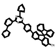 N#Cc1ccc2c(c1)C1(c3ccccc3-c3ccccc31)c1cc(-c3ccc(-c4nc(-c5ccccc5)nc(-c5cccc(-c6ccccc6)c5)n4)cc3)ccc1-2